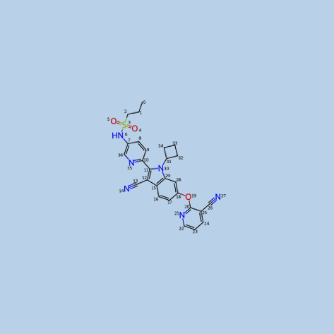 CCCS(=O)(=O)Nc1ccc(-c2c(C#N)c3ccc(Oc4ncccc4C#N)cc3n2C2CCC2)nc1